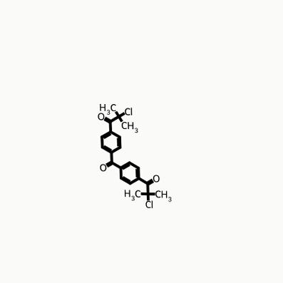 CC(C)(Cl)C(=O)c1ccc(C(=O)c2ccc(C(=O)C(C)(C)Cl)cc2)cc1